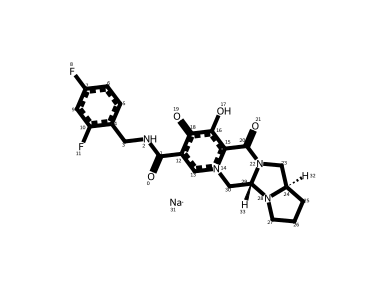 O=C(NCc1ccc(F)cc1F)c1cn2c(c(O)c1=O)C(=O)N1C[C@H]3CCCN3[C@@H]1C2.[Na]